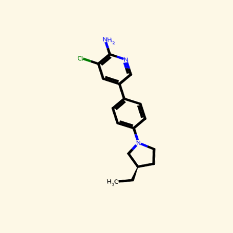 CC[C@@H]1CCN(c2ccc(-c3cnc(N)c(Cl)c3)cc2)C1